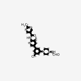 Cc1ncc(C(=O)Nc2ncc(-c3cc(Cl)cc(N4CCN(BC=O)CC4)c3)cc2F)cn1